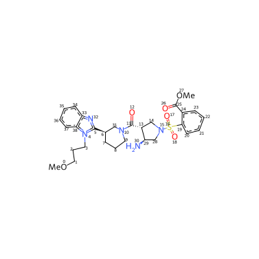 COCCCn1c([C@@H]2CCCN(C(=O)[C@@H]3CN(S(=O)(=O)c4ccccc4C(=O)OC)C[C@H]3N)C2)nc2ccccc21